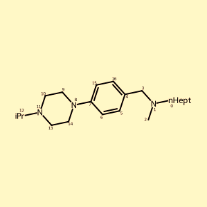 CCCCCCCN(C)Cc1ccc(N2CCN(C(C)C)CC2)cc1